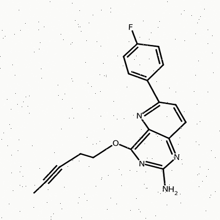 CC#CCCOc1nc(N)nc2ccc(-c3ccc(F)cc3)nc12